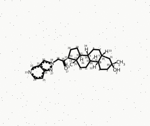 C[C@@]1(O)CC[C@H]2[C@H](CC[C@@H]3[C@@H]2CC[C@]2(C)[C@@H](C(=O)Cn4cc5cnccc5n4)CC[C@@H]32)C1